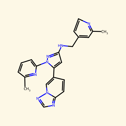 Cc1cc(CNc2cc(-c3ccc4ncnn4c3)n(-c3cccc(C)n3)n2)ccn1